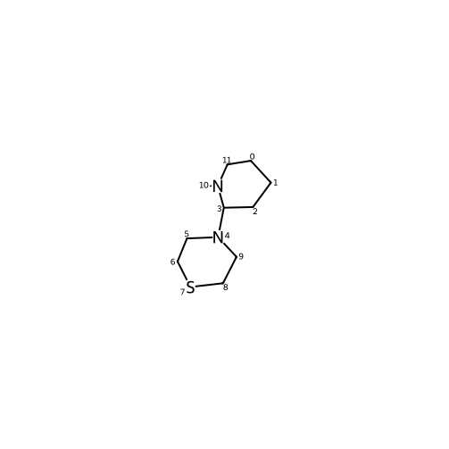 C1CCC(N2CCSCC2)[N]C1